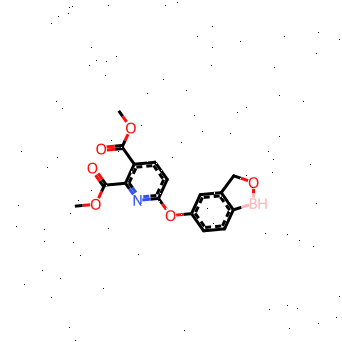 COC(=O)c1ccc(Oc2ccc3c(c2)COB3)nc1C(=O)OC